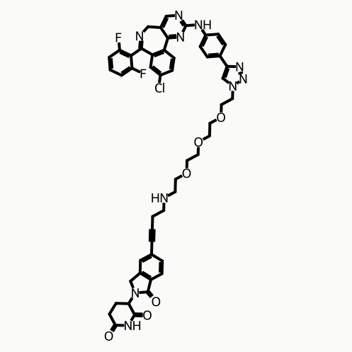 O=C1CCC(N2Cc3cc(C#CCCNCCOCCOCCOCCn4cc(-c5ccc(Nc6ncc7c(n6)-c6ccc(Cl)cc6C(c6c(F)cccc6F)=NC7)cc5)nn4)ccc3C2=O)C(=O)N1